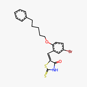 O=C1NC(=S)S/C1=C/c1cc(Br)ccc1OCCCCCc1ccccc1